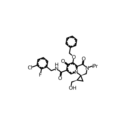 CC(C)N1C[C@]2(C[C@H]2CO)n2cc(C(=O)NCc3cccc(Cl)c3F)c(=O)c(OCc3ccccc3)c2C1=O